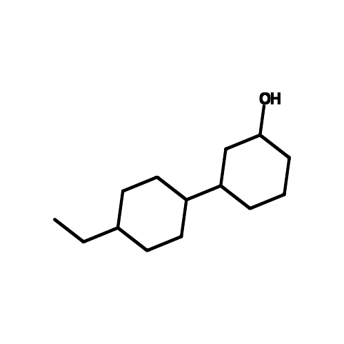 CCC1CCC(C2CCCC(O)C2)CC1